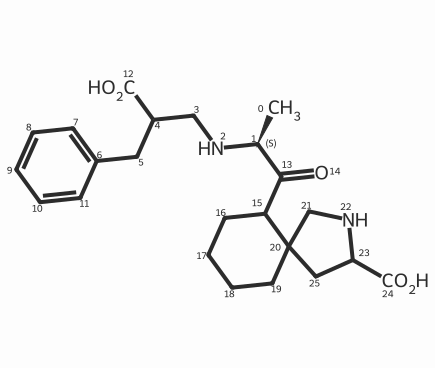 C[C@H](NCC(Cc1ccccc1)C(=O)O)C(=O)C1CCCCC12CNC(C(=O)O)C2